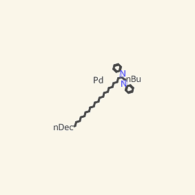 CCCCCCCCCCCCCCCCCCCCCCCCCCCCCCC(=N\c1ccccc1)/C(CCCC)=N/c1ccccc1.[Pd]